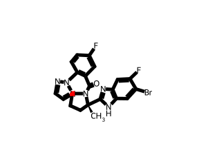 C[C@@]1(c2nc3cc(F)c(Br)cc3[nH]2)CCCN1C(=O)c1cc(F)ccc1-n1nccn1